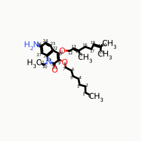 CCCCCCCCOc1c(OC/C=C(\C)CCC=C(C)C)c2ccc(N)cc2n(CC)c1=O